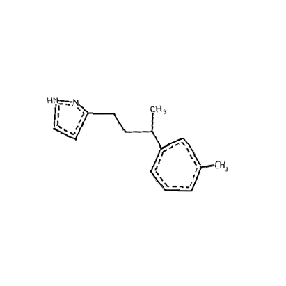 Cc1cccc(C(C)CCc2cc[nH]n2)c1